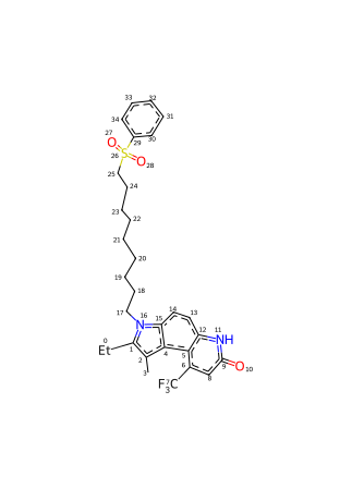 CCc1c(C)c2c3c(C(F)(F)F)cc(=O)[nH]c3ccc2n1CCCCCCCCCS(=O)(=O)c1ccccc1